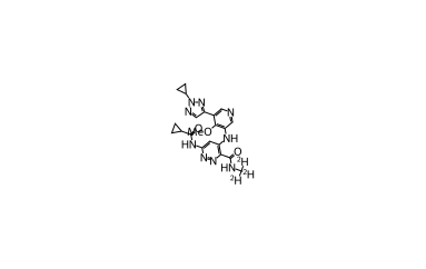 [2H]C([2H])([2H])NC(=O)c1nnc(NC(=O)C2CC2)cc1Nc1cncc(-c2cnn(C3CC3)n2)c1OC